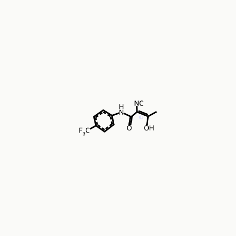 [C-]#[N+]/C(C(=O)Nc1ccc(C(F)(F)F)cc1)=C(\C)O